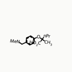 CCCC(C)(Oc1ccc(CNC)cc1)C(=O)O